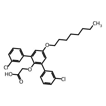 CCCCCCCCOc1cc(-c2cccc(Cl)c2)c(OCC(=O)O)c(-c2cccc(Cl)c2)c1